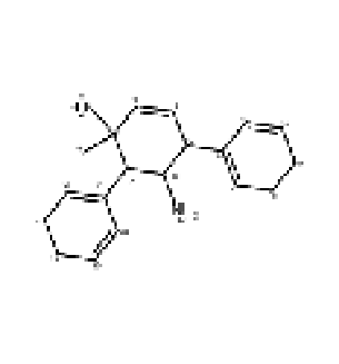 CC1(N)C=CC(C2=CCCC=C2)C(N)C1C1=CCCC=C1